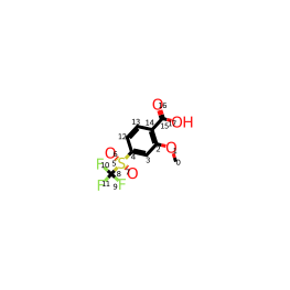 COc1cc(S(=O)(=O)C(F)(F)F)ccc1C(=O)O